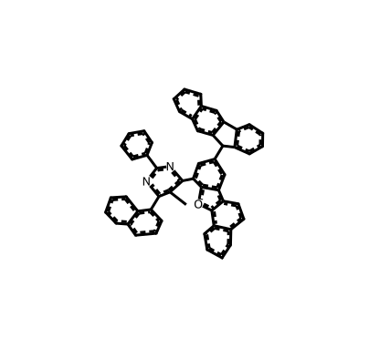 Cc1c(-c2cccc3ccccc23)nc(-c2ccccc2)nc1-c1cc(C2c3ccccc3-c3cc4ccccc4cc32)cc2c1oc1c3ccccc3ccc21